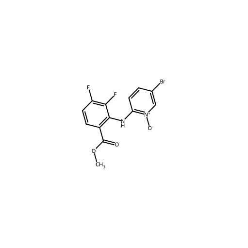 COC(=O)c1ccc(F)c(F)c1Nc1ccc(Br)c[n+]1[O-]